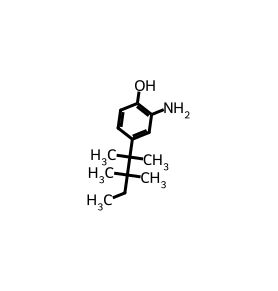 CCC(C)(C)C(C)(C)c1ccc(O)c(N)c1